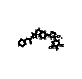 O=C(Cc1ccccc1)N1CC2(C1)OCc1cc(C3=NS[C@@](c4cc(Cl)c(F)c(Cl)c4)(C(F)(F)F)C3)ccc12